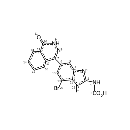 O=C(O)Nc1nc2cc(-c3n[nH]c(=O)c4ccccc34)cc(Br)c2[nH]1